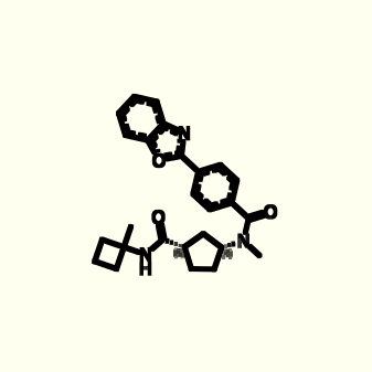 CN(C(=O)c1ccc(-c2nc3ccccc3o2)cc1)[C@@H]1CC[C@H](C(=O)NC2(C)CCC2)C1